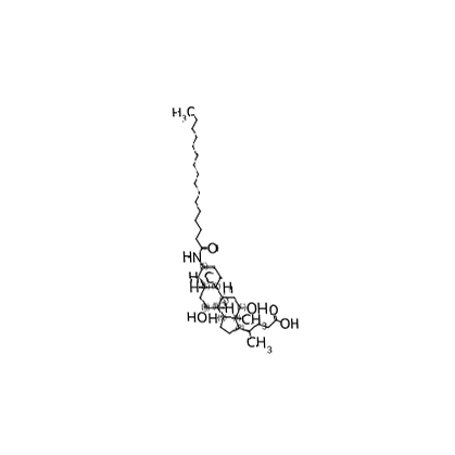 CCCCCCCCCCCCCCCC(=O)N[C@H]1CC[C@@]2(C)[C@@H](C1)C[C@@H](O)[C@@H]1[C@@H]2C[C@H](O)[C@]2(C)[C@@H](C(C)CCC(=O)O)CC[C@@H]12